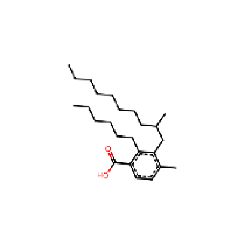 CCCCCCCCC(C)Cc1c(C)ccc(C(=O)O)c1CCCCCC